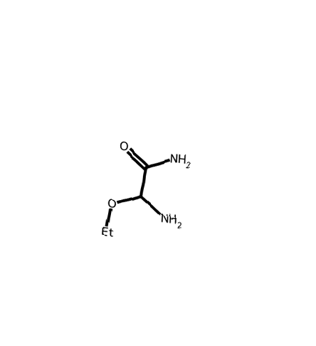 CCOC(N)C(N)=O